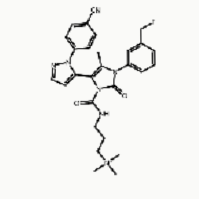 Cc1c(-c2ccnn2-c2ccc(C#N)cc2)n(C(=O)NCCC[N+](C)(C)C)c(=O)n1-c1cccc(CF)c1